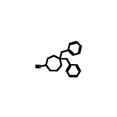 N#CC1CCCC(Cc2ccccc2)(Cc2ccccc2)CC1